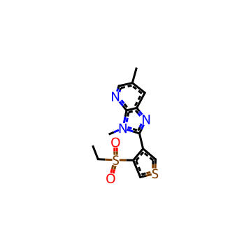 CCS(=O)(=O)c1cscc1-c1nc2cc(C)cnc2n1C